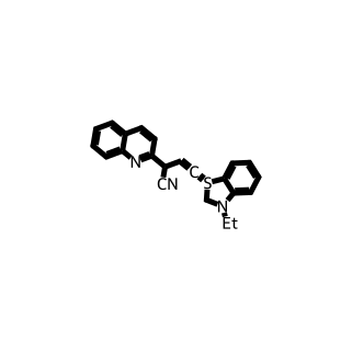 CCN1CS(=C=CC(C#N)c2ccc3ccccc3n2)c2ccccc21